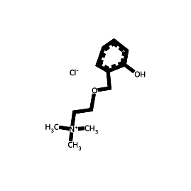 C[N+](C)(C)CCOCc1ccccc1O.[Cl-]